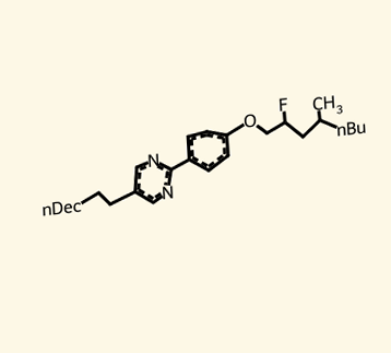 CCCCCCCCCCCCc1cnc(-c2ccc(OCC(F)CC(C)CCCC)cc2)nc1